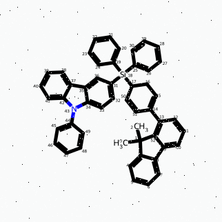 CC1(C)c2ccccc2-c2cccc(C3=CCC([Si](c4ccccc4)(c4ccccc4)c4ccc5c(c4)c4ccccc4n5-c4ccccc4)C=C3)c21